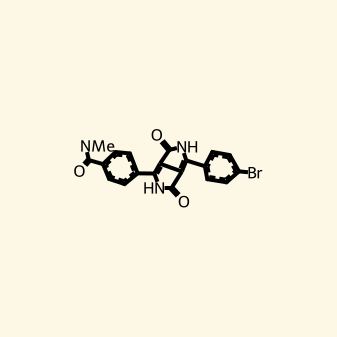 CNC(=O)c1ccc(C2=C3C(=O)NC(c4ccc(Br)cc4)=C3C(=O)N2)cc1